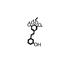 CCOC1(OC)C(OC)=CC(/C=C/c2cccc(O)c2)=CC1OC